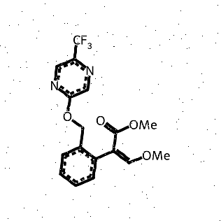 COC=C(C(=O)OC)c1ccccc1COc1cnc(C(F)(F)F)cn1